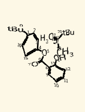 CC(C)(C)c1ccc(OC(=O)c2ccccc2O)cc1.C[Si](C)C(C)(C)C